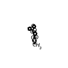 CN1CCN(S(=O)(=O)c2ccc3c(c2)OC(c2ccccc2)(c2ccccc2)O3)CC1